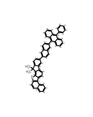 CC1(C)c2ccc(-c3ccc4cc(-c5c6ccccc6c(-c6ccccc6)c6ccccc56)ccc4c3)cc2-c2ccc3c(oc4ccc5ccccc5c43)c21